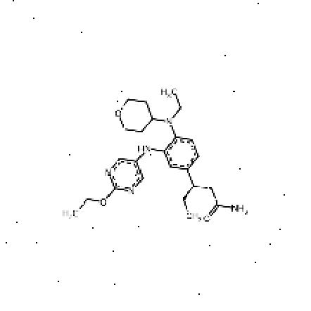 CCOc1ncc(Nc2cc([C@H](CC)CC(N)=O)ccc2N(CC)C2CCOCC2)cn1